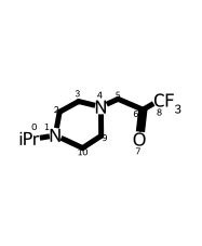 CC(C)N1CCN(CC(=O)C(F)(F)F)CC1